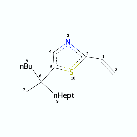 C=Cc1ncc(C(C)(CCCC)CCCCCCC)s1